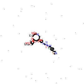 CC[C@H]1OC(=O)[C@H](C)[C@@H](O[C@H]2C[C@@](C)(OC)[C@@H](O)[C@H](C)O2)[C@H](C)[C@@H](O[C@H]2C[C@@H](N(C)CCNC(=O)N[C@H](CF)Cc3ccc(-c4cncs4)cc3)C[C@@H](C)O2)[C@](C)(O)C[C@@H](C)CN(C)[C@H](C)[C@@H](O)[C@]1(C)O